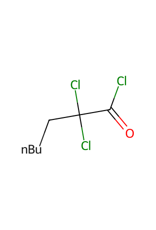 CCCCCC(Cl)(Cl)C(=O)Cl